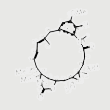 COc1cc2cc(c1Cl)N(C)C(=O)C[C@H](O)[C@]1(C)O[C@H]1[C@H](C)C1C[C@@](OC)(NC(=O)O1)[C@H](OC)/C=C/C=C(\C)C2